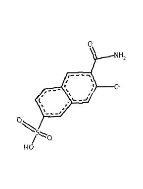 NC(=O)c1cc2ccc(S(=O)(=O)O)cc2cc1[O]